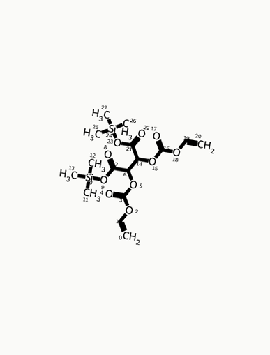 C=COC(=O)OC(C(=O)O[Si](C)(C)C)C(OC(=O)OC=C)C(=O)O[Si](C)(C)C